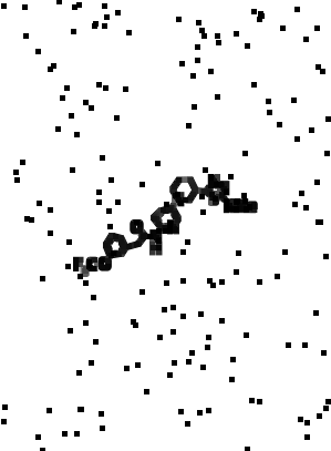 CNc1nnc(C2CCCN(c3ccc(NC(=O)Cc4cccc(OC(F)(F)F)c4)nc3)C2)s1